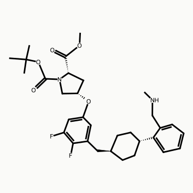 CNCc1ccccc1[C@H]1CC[C@H](Cc2cc(O[C@H]3C[C@@H](C(=O)OC)N(C(=O)OC(C)(C)C)C3)cc(F)c2F)CC1